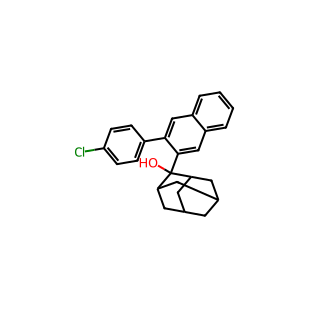 OC1(c2cc3ccccc3cc2-c2ccc(Cl)cc2)C2CC3CC(C2)CC1C3